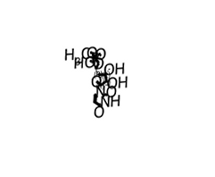 COP(=O)(O)OC[C@H]1O[C@@H](n2ccc(=O)[nH]c2=O)[C@@H](O)[C@H]1O